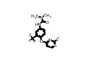 CN(C)C(=O)Nc1ccc(Oc2ccnc(Cl)n2)c(C(F)(F)F)c1